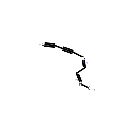 C#CC#C/N=C\C=N/C